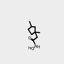 CC1CCC(C)(CC(=O)NO)C1